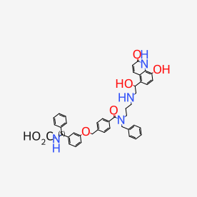 O=C(O)N[C@@H](c1ccccc1)c1cccc(OCc2ccc(C(=O)N(CCCNCC(O)c3ccc(O)c4[nH]c(=O)ccc34)Cc3ccccc3)cc2)c1